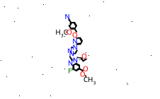 CCOC(=O)c1cc(F)c2nc(CN3CCN(c4cccc(OCc5ccc(C#N)cc5OC)n4)C=N3)n(C[C@@H]3CCO3)c2c1